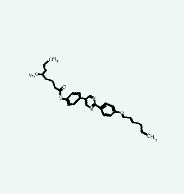 CCCCCCOc1ccc(-c2ncc(-c3ccc(OC(=O)CCCC(C)CCC)cc3)cn2)cc1